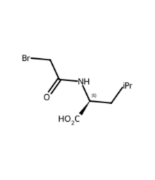 CC(C)C[C@H](NC(=O)CBr)C(=O)O